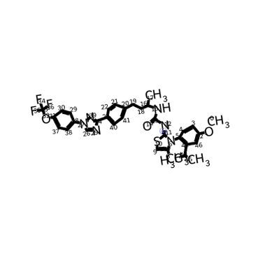 COc1ccc(-n2c(C)cs/c2=N\C(=O)NC(C)CCc2ccc(-c3ncn(-c4ccc(OC(F)(F)F)cc4)n3)cc2)c(C(C)C)c1